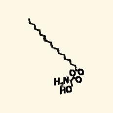 CCCCCC/C=C/CCCCCCCCCC(=O)OC(=O)[C@@H](N)CO